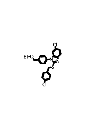 CCOCc1ccc(-n2c(SCc3ccc(Cl)cc3)nc3ccc(Cl)cc32)cc1